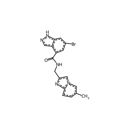 Cc1ccc2nc(CNC(=O)c3cc(Br)cc4[nH]ncc34)cn2c1